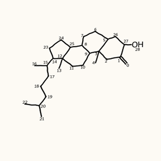 C=C1CC2(C)C(CCC3C2CCC2(C)C(C(C)CCCC(C)C)CCC32)CC1O